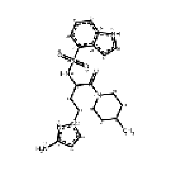 CC1CCN(C(=O)C(CCn2ccc(N)n2)NS(=O)(=O)c2cccc3[nH]ccc23)CC1